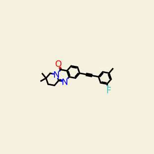 Cc1cc(F)cc(C#Cc2ccc3c(=O)n4c(nc3c2)CCC(C)(C)C4)c1